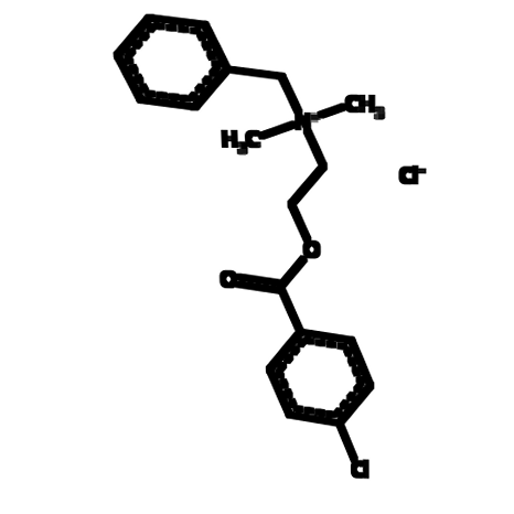 C[N+](C)(CCOC(=O)c1ccc(Cl)cc1)Cc1ccccc1.[Cl-]